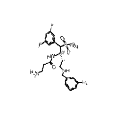 CCCCS(=O)(=O)C(c1cc(F)cc(F)c1)[C@H]([CH]CNCc1cccc(CC)c1)NC(=O)CCN